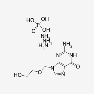 N.N.N.Nc1nc2c(ncn2COCCO)c(=O)[nH]1.O=P(O)(O)O